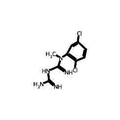 CN(C(=N)NC(=N)N)c1cc(Cl)ccc1Cl